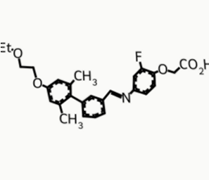 CCOCCOc1cc(C)c(-c2cccc(C=Nc3ccc(OCC(=O)O)c(F)c3)c2)c(C)c1